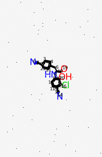 N#Cc1ccc(C[C@H](Nc2ccc(C#N)c(Cl)c2)C(=O)O)cc1